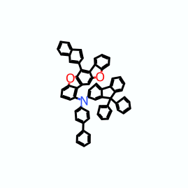 c1ccc(-c2ccc(N(c3ccc4c(c3)C(c3ccccc3)(c3ccccc3)c3ccccc3-4)c3cccc4oc5c(-c6ccc7ccccc7c6)c6c(cc5c34)oc3ccccc36)cc2)cc1